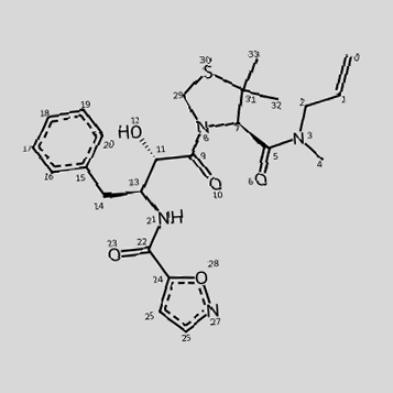 C=CCN(C)C(=O)[C@H]1N(C(=O)[C@@H](O)[C@H](Cc2ccccc2)NC(=O)c2ccno2)CSC1(C)C